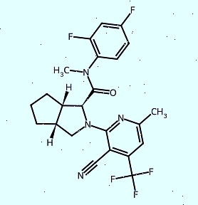 Cc1cc(C(F)(F)F)c(C#N)c(N2C[C@@H]3CCC[C@@H]3[C@H]2C(=O)N(C)c2ccc(F)cc2F)n1